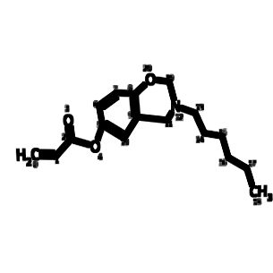 C=CC(=O)Oc1ccc2c(c1)CN(CCCCCC)CO2